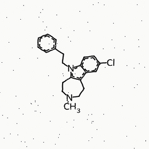 CN1CCc2c(n(CCc3ccccc3)c3ccc(Cl)cc23)CC1